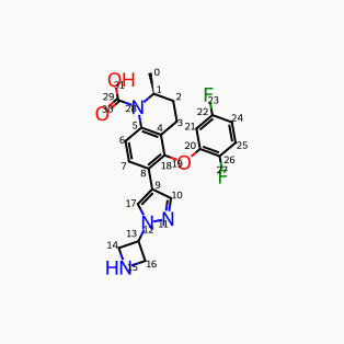 C[C@H]1CCc2c(ccc(-c3cnn(C4CNC4)c3)c2Oc2cc(F)ccc2F)N1C(=O)O